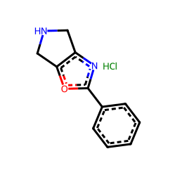 Cl.c1ccc(-c2nc3c(o2)CNC3)cc1